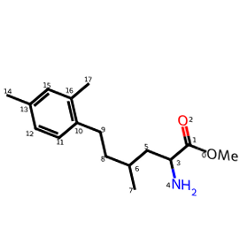 COC(=O)C(N)CC(C)CCc1ccc(C)cc1C